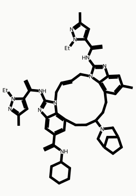 C=C(NC1CCCCC1)c1cc2c3c(c1)nc(NC(=C)c1cc(C)nn1CC)n3C/C=C/Cn1c(NC(=C)c3cc(C)nn3CC)nc3cc(C)cc(c31)CCC(N1CC3CCC(C3)C1)CC2